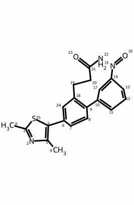 Cc1nc(C)c(-c2ccc(-c3cccc(N=O)c3)c(CCC(N)=O)c2)s1